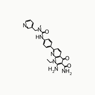 CCn1c(N)c(C(N)=O)c(=O)c2ccc(-c3ccc(NC(=O)N(C)Cc4cccnc4)cc3)nc21